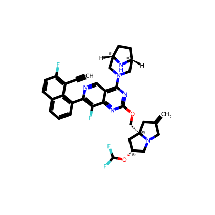 C#Cc1c(F)ccc2cccc(-c3ncc4c(N5C[C@H]6CC[C@@H](C5)N6)nc(OC[C@]56CC(=C)CN5C[C@H](OC(F)F)C6)nc4c3F)c12